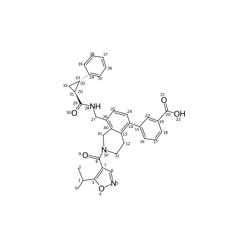 CC(C)c1oncc1C(=O)N1CCc2c(-c3cccc(C(=O)O)c3)ccc(CNC(=O)[C@H]3C[C@@H]3c3ccccc3)c2C1